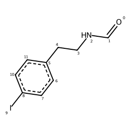 O=CNCCc1ccc(I)cc1